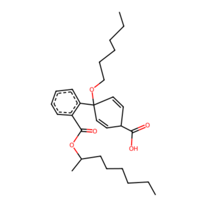 CCCCCCOC1(c2ccccc2C(=O)OC(C)CCCCCC)C=CC(C(=O)O)C=C1